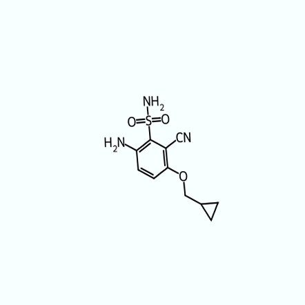 N#Cc1c(OCC2CC2)ccc(N)c1S(N)(=O)=O